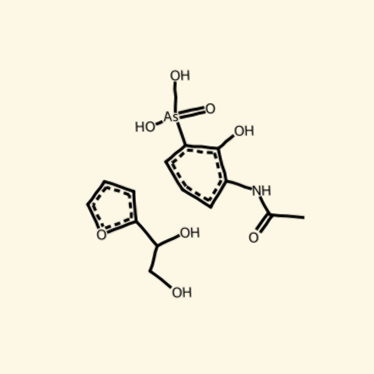 CC(=O)Nc1cccc([As](=O)(O)O)c1O.OCC(O)c1ccco1